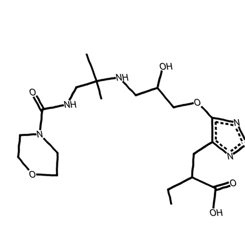 CCC(Cc1nsnc1OCC(O)CNC(C)(C)CNC(=O)N1CCOCC1)C(=O)O